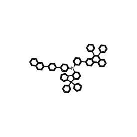 c1ccc(-c2c(-c3ccccc3)c3cc(-c4cccc(N(c5ccc(-c6ccc(-c7ccc8ccccc8c7)cc6)cc5)c5cccc6c5-c5ccccc5C6(c5ccccc5)c5ccccc5)c4)ccc3c3ccccc23)cc1